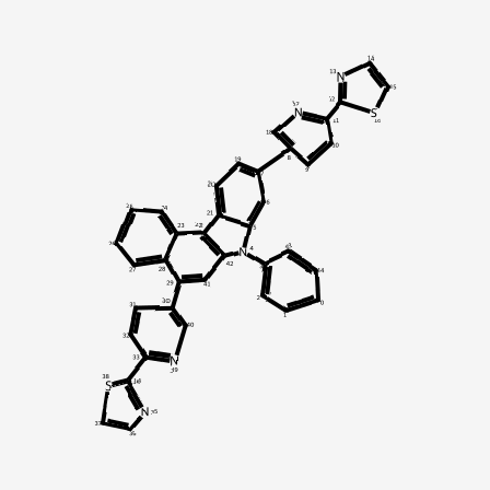 c1ccc(-n2c3cc(-c4ccc(-c5nccs5)nc4)ccc3c3c4ccccc4c(-c4ccc(-c5nccs5)nc4)cc32)cc1